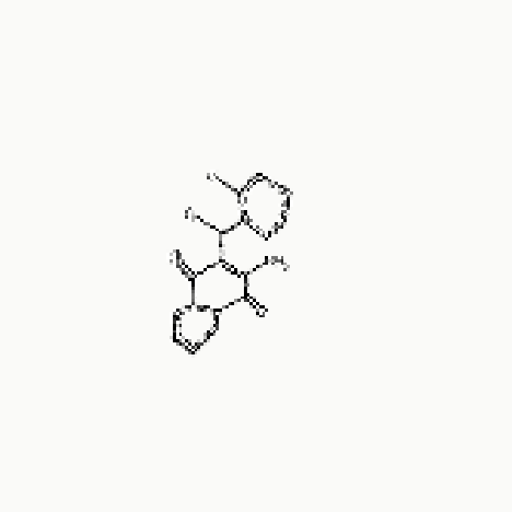 NC1=C(C(Cl)c2ccccc2Cl)C(=O)c2ccccc2C1=O